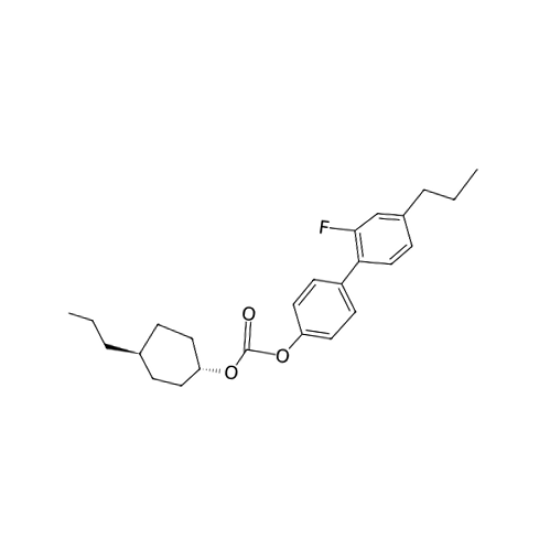 CCCc1ccc(-c2ccc(OC(=O)O[C@H]3CC[C@H](CCC)CC3)cc2)c(F)c1